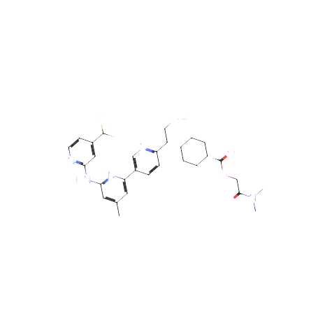 Cc1cc(Nc2cc(C(F)F)ccn2)nc(-c2ccc(C(CO)[C@H]3CC[C@H](C(=O)OCC(=O)N(C)C)CC3)nc2)c1